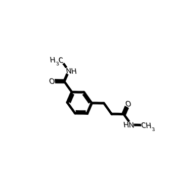 CNC(=O)CCc1cccc(C(=O)NC)c1